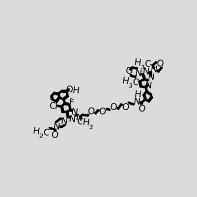 C=CC(=O)N1CCN(c2nc(N(C)CCOCCOCCOCCOCCNC(=O)c3cccc(-c4ccc5c(N6CCOC[C@H]6C)nc(N6CCOC[C@H]6C)nc5n4)c3)nc3c(F)c(-c4cc(O)cc5ccccc45)c(Cl)cc23)CC1